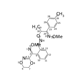 CON=C(C1=NOCCO1)c1ccccc1C=NOC(C)C(=NOC)c1ccc(C)cc1